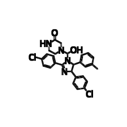 Cc1cccc(C2C(c3ccc(Cl)cc3)N=C(c3ccc(Cl)cc3)N2C(O)N2CCNC(=O)C2)c1